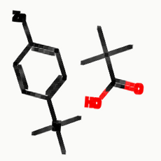 CC(C)(C)C(=O)O.C[Si](C)(C)c1cc[c]([Zn])cc1